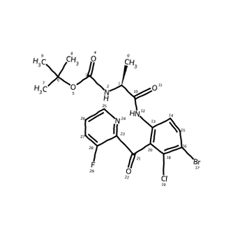 C[C@H](NC(=O)OC(C)(C)C)C(=O)Nc1ccc(Br)c(Cl)c1C(=O)c1ncccc1F